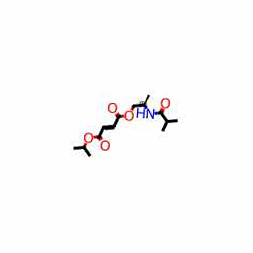 CC(C)OC(=O)C=CC(=O)OC[C@@H](C)NC(=O)C(C)C